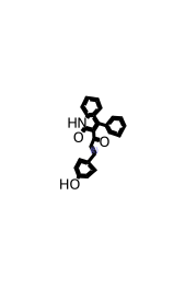 O=C(/C=C/c1ccc(O)cc1)c1c(-c2ccccc2)c2ccccc2[nH]c1=O